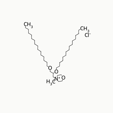 CCCCCCCCCCCCCCCCOCC(C[N+]1(C)CCOCC1)OCCCCCCCCCCCCCCCC.[Cl-]